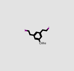 COc1cc(CCI)cc(CCI)c1